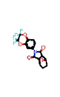 O=C1C2C3CCC(O3)C2C(=O)N1c1ccc2c(c1)OC(F)(F)C(F)(F)O2